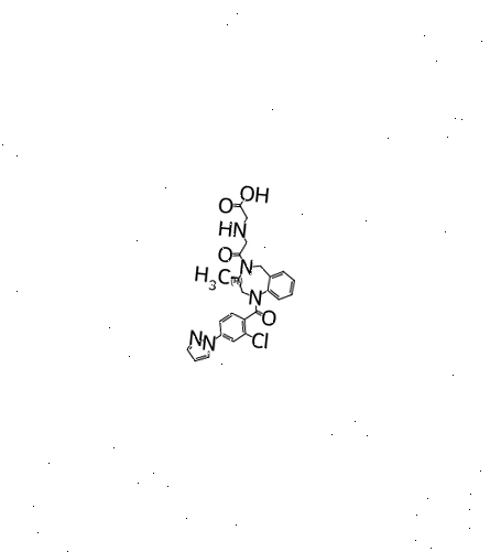 C[C@@H]1CN(C(=O)c2ccc(-n3cccn3)cc2Cl)c2ccccc2CN1C(=O)CNCC(=O)O